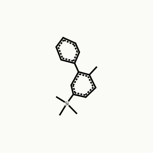 Cc1ccc([Si](C)(C)C)cc1-c1ccccc1